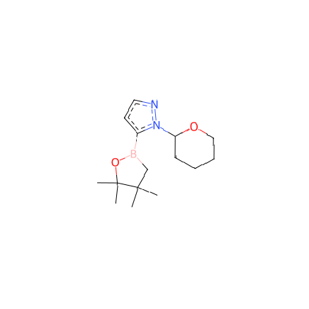 CC1(C)CB(c2ccnn2C2CCCCO2)OC1(C)C